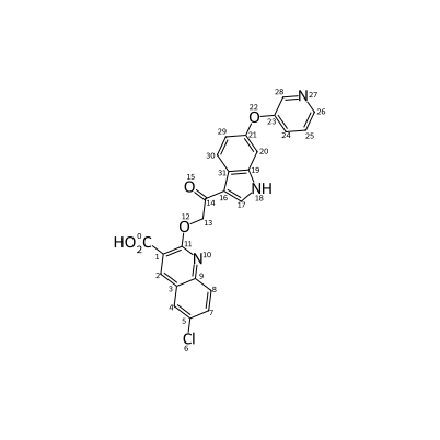 O=C(O)c1cc2cc(Cl)ccc2nc1OCC(=O)c1c[nH]c2cc(Oc3cccnc3)ccc12